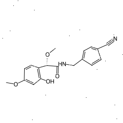 COc1ccc([C@H](OC)C(=O)NCc2ccc(C#N)cc2)c(O)c1